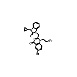 CC(C)CCn1c(Cn2c(=O)n(C3CC3)c3ccccc32)nc(=O)c2cc(Br)ccc21